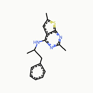 Cc1nc(NC(C)Cc2ccccc2)c2cc(C)sc2n1